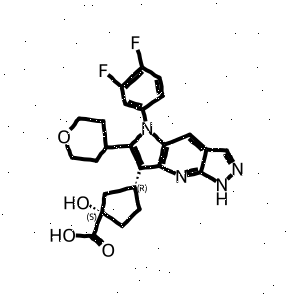 O=C(O)[C@]1(O)CC[C@@H](c2c(C3CCOCC3)n(-c3ccc(F)c(F)c3)c3cc4cn[nH]c4nc23)C1